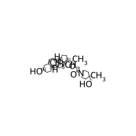 CC(OCC(=O)N1CCC(C)(CO)CC1)[C@H]1CC[C@H]2[C@@H]3CC=C4C[C@@H](O)CC[C@]4(C)[C@H]3CC[C@]12C